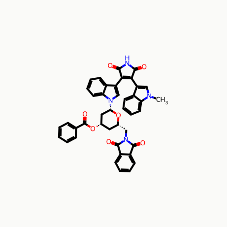 Cn1cc(C2=C(c3cn([C@H]4C[C@@H](OC(=O)c5ccccc5)C[C@@H](CN5C(=O)c6ccccc6C5=O)O4)c4ccccc34)C(=O)NC2=O)c2ccccc21